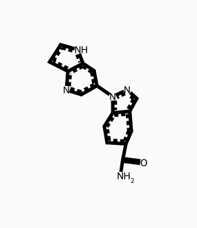 NC(=O)c1ccc2c(cnn2-c2cnc3cc[nH]c3c2)c1